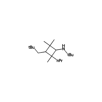 CCCC1(C)C(CC(C)(C)C)C(C)(C)C1NC(C)(C)C